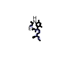 C#CC(/C=C/C)=C/C=C\C(C1=CC(NC(=C)/C=C/CC)C(C)C=C1C)=C(/C)C=C